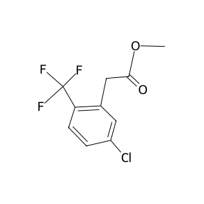 COC(=O)Cc1cc(Cl)ccc1C(F)(F)F